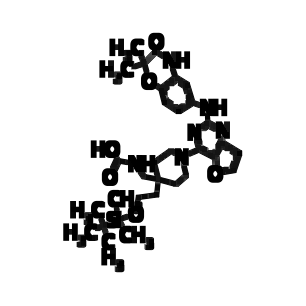 CC1(C)Oc2ccc(Nc3nc(N4CCC(CCO[Si](C)(C)C(C)(C)C)(CNC(=O)O)CC4)c4occc4n3)cc2NC1=O